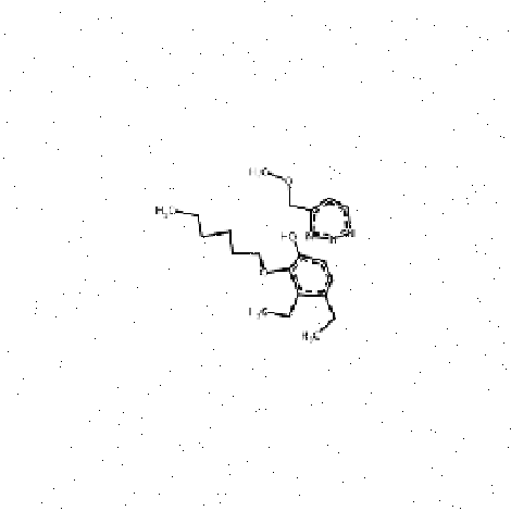 CCCCCCOc1c(O)ccc(CC)c1CC.COCc1ccnnn1